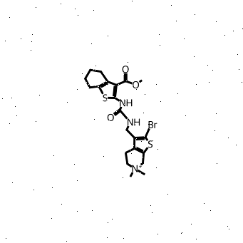 COC(=O)c1c(NC(=O)NCc2c(Br)sc3c2CC[N+](C)(C)C3)sc2c1CCCC2